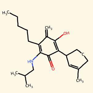 C=C1C(O)=C(C2C=C(C)CCC2)C(=O)C(NCC(C)C)=C1CCCCC